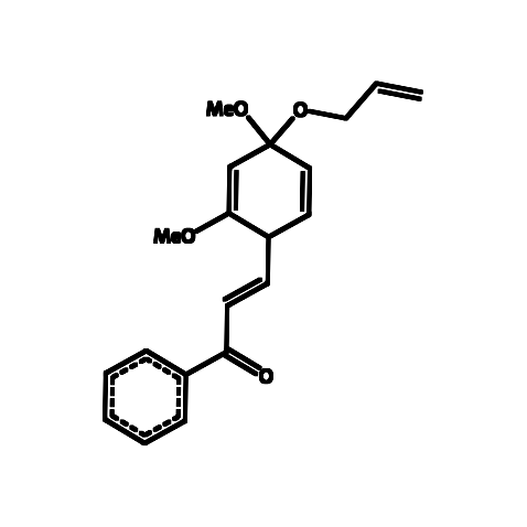 C=CCOC1(OC)C=CC(/C=C/C(=O)c2ccccc2)C(OC)=C1